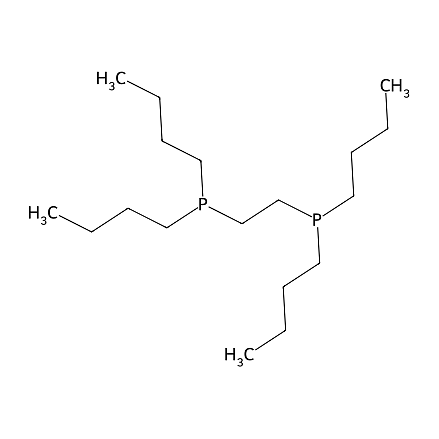 CCCCP(CCCC)CCP(CCCC)CCCC